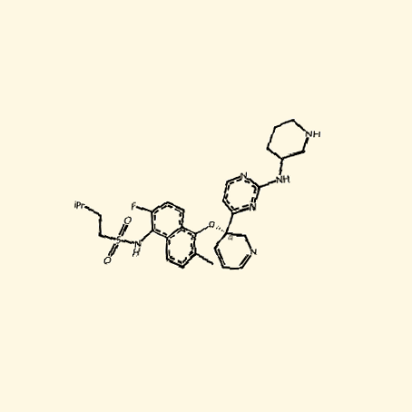 Cc1ccc2c(NS(=O)(=O)CCC(C)C)c(F)ccc2c1O[C@@]1(c2ccnc(NC3CCCNC3)n2)C=CC=NC1